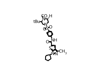 Cc1nn(C2CCCCC2)c2sc(C(=O)Nc3ccc(S(=O)(=O)N4CCN(C(=O)O)C(C(C)(C)C)C4)cc3)cc12